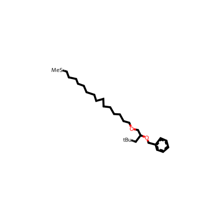 CSCCCCCCCCCCCCCCCOCC(CC(C)(C)C)OCc1ccccc1